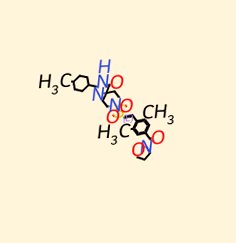 Cc1cc(C(=O)N2CCCO2)cc(C)c1/C=C/S(=O)(=O)N1CCC2(CC1)N=C(C1CCC(C)CC1)NC2=O